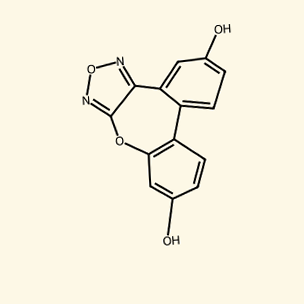 Oc1ccc2c(c1)Oc1nonc1-c1cc(O)ccc1-2